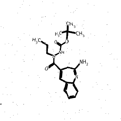 CCCN(NC(=O)OC(C)(C)C)C(=O)C1=Cc2ccccc2N=C(N)C1